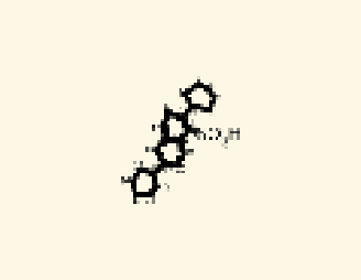 O=S(=O)(O)c1c(C2CCCCC2)ccc2cc(C3CCCCC3)ccc12